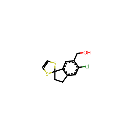 OCc1cc2c(cc1Cl)CCC21SC=CS1